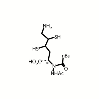 CCCCC(=O)N(NC(C)=O)[C@@H](CC(S)C(S)CN)C(=O)O